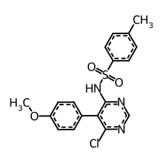 COc1ccc(-c2c(Cl)ncnc2NS(=O)(=O)c2ccc(C)cc2)cc1